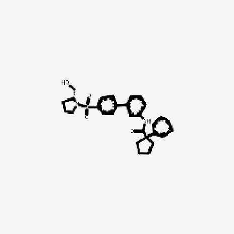 O=C(Nc1cccc(-c2ccc(S(=O)(=O)N3CCC[C@@H]3CO)cc2)c1)C1(c2ccccc2)CCCC1